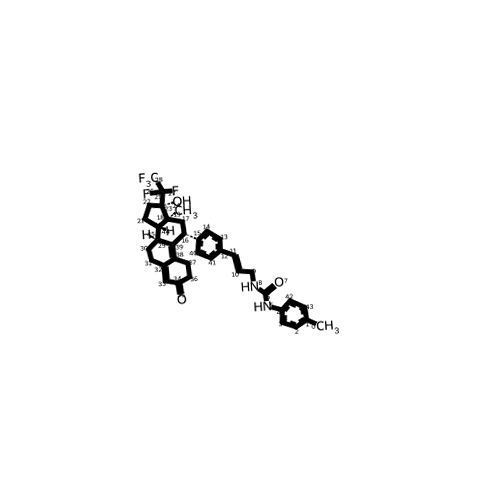 Cc1ccc(NC(=O)NCC=Cc2ccc([C@H]3C[C@@]4(C)[C@@H](CC[C@@]4(O)C(F)(F)C(F)(F)F)[C@@H]4CCC5=CC(=O)CCC5=C43)cc2)cc1